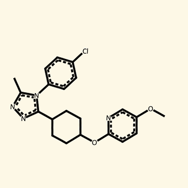 COc1ccc(OC2CCC(c3nnc(C)n3-c3ccc(Cl)cc3)CC2)nc1